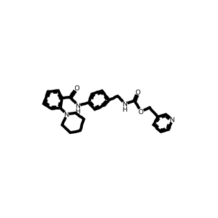 O=C(NCc1ccc(NC(=O)c2ccccc2N2CCCCC2)cc1)OCc1cccnc1